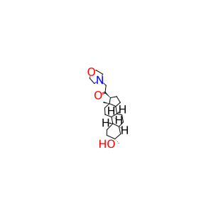 C[C@]1(O)CC[C@H]2[C@@H](CC[C@@H]3[C@@H]2CC[C@]2(C)[C@@H](C(=O)CN4CCOCC4)CC[C@@H]32)C1